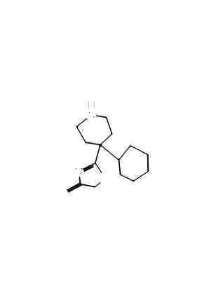 S=C1COC(C2(C3CCCCC3)CCNCC2)=N1